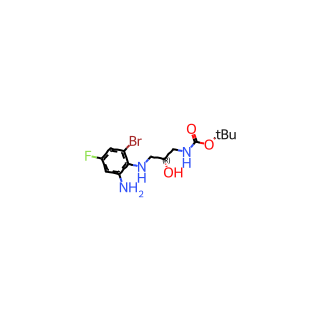 CC(C)(C)OC(=O)NC[C@H](O)CNc1c(N)cc(F)cc1Br